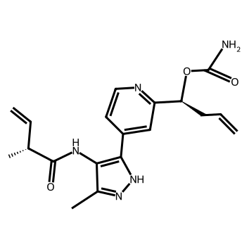 C=CC[C@H](OC(N)=O)c1cc(-c2[nH]nc(C)c2NC(=O)[C@H](C)C=C)ccn1